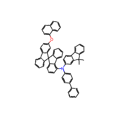 CC1(C)c2ccccc2-c2ccc(N(c3ccc(-c4ccccc4)cc3)c3cccc4c3-c3ccccc3C43c4ccccc4-c4ccc(Oc5cccc6ccccc56)cc43)cc21